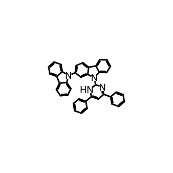 C1=C(c2ccccc2)NC(n2c3ccccc3c3ccc(-n4c5ccccc5c5ccccc54)cc32)N=C1c1ccccc1